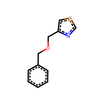 c1ccc(COCc2cscn2)cc1